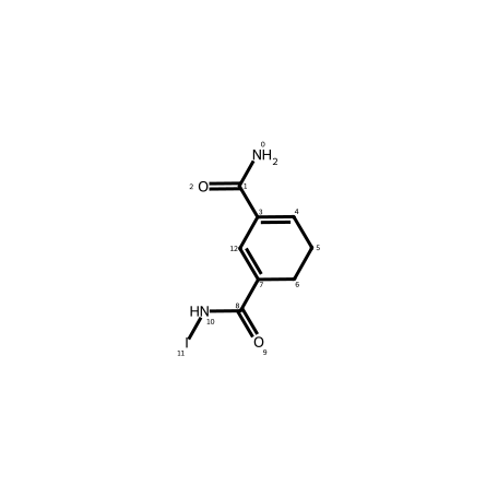 NC(=O)C1=CCCC(C(=O)NI)=C1